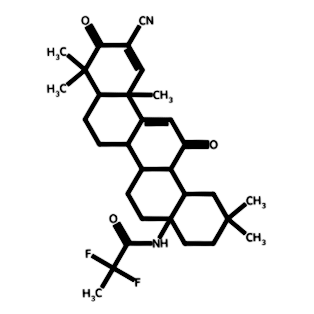 CC1(C)CCC2(NC(=O)C(C)(F)F)CCC3C4CCC5C(C)(C)C(=O)C(C#N)=CC5(C)C4=CC(=O)C3C2C1